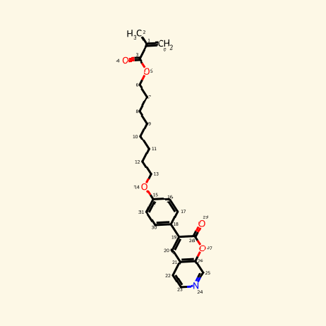 C=C(C)C(=O)OCCCCCCCCOc1ccc(-c2cc3ccncc3oc2=O)cc1